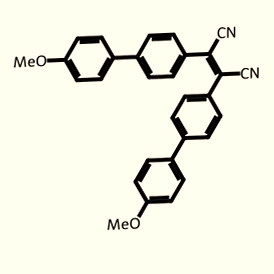 COc1ccc(-c2ccc(C(C#N)=C(C#N)c3ccc(-c4ccc(OC)cc4)cc3)cc2)cc1